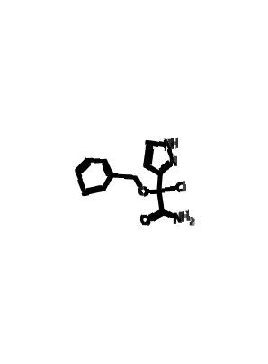 NC(=O)C(Cl)(OCc1ccccc1)c1cc[nH]n1